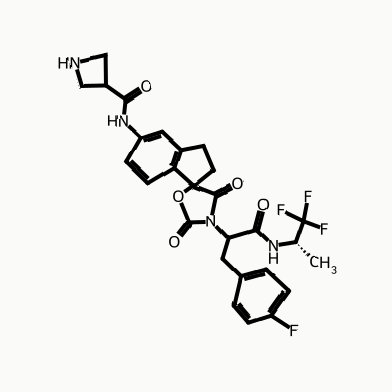 C[C@H](NC(=O)C(Cc1ccc(F)cc1)N1C(=O)OC2(CCc3cc(NC(=O)C4CNC4)ccc32)C1=O)C(F)(F)F